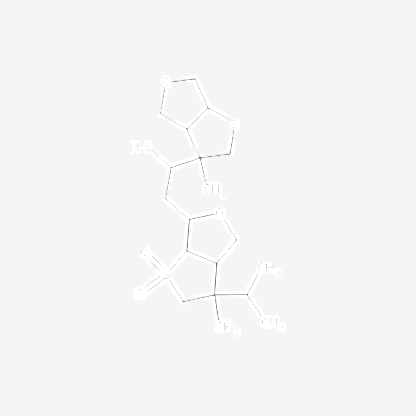 CC(C)C1(C)CS(=O)(=O)C2C(CC(C)C3(C)CSC4CSCC43)OCC21